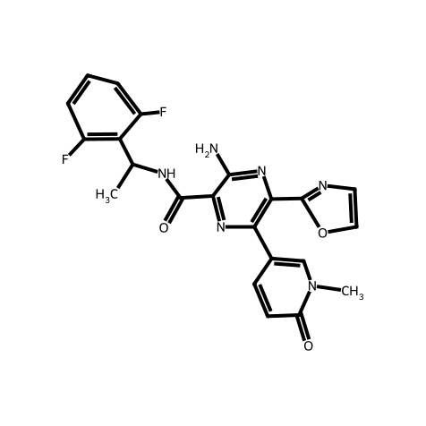 CC(NC(=O)c1nc(-c2ccc(=O)n(C)c2)c(-c2ncco2)nc1N)c1c(F)cccc1F